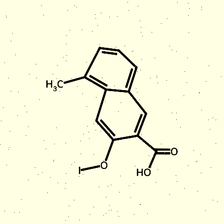 Cc1cccc2cc(C(=O)O)c(OI)cc12